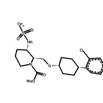 COC(=O)N1CCC[C@H](NS(C)(=O)=O)[C@@H]1CO[C@H]1CC[C@@H](c2ccccc2Cl)CC1